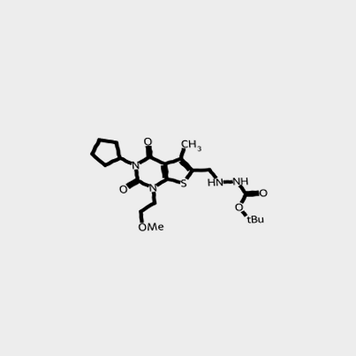 COCCn1c(=O)n(C2CCCC2)c(=O)c2c(C)c(CNNC(=O)OC(C)(C)C)sc21